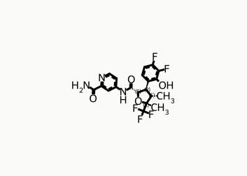 C[C@H]1[C@H](c2ccc(F)c(F)c2O)[C@@H](C(=O)Nc2ccnc(C(N)=O)c2)O[C@@]1(C)C(F)(F)F